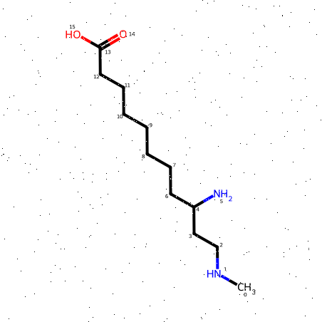 CNCCC(N)CCCCCCCC(=O)O